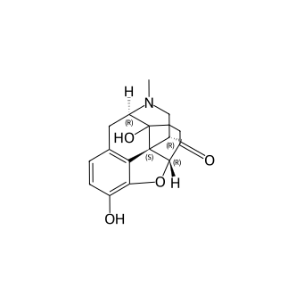 C[C@H]1CN(C)[C@@H]2Cc3ccc(O)c4c3[C@]13[C@@H](O4)C(=O)CCC23O